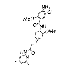 COc1cc(N)c(Cl)cc1C(=O)N[C@@H]1CCN(CCC(=O)Nc2cc(C)cc(C)n2)C[C@@H]1OC